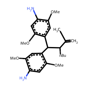 C=C(C)C(CCCC)C(c1cc(OC)c(N)cc1OC)c1cc(OC)c(N)cc1OC